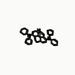 C1=CCC(N(C2=C3C=C[C@@H]4CC=C(N(C5=CCCCC5)c5ccccc5)C5=CCC(C=C2)C3=C54)c2ccccc2)C=C1